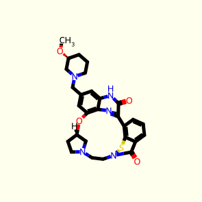 CO[C@H]1CCCN(Cc2cc3c4nc(c(=O)[nH]c4c2)-c2cccc4c(=O)n(sc24)CCN2CC[C@@H](C2)O3)C1